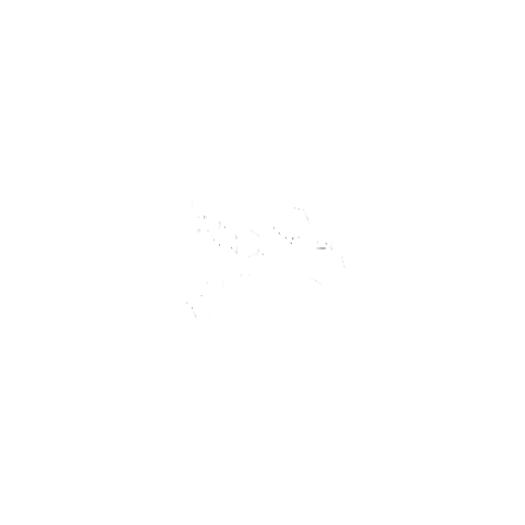 COC1=CC/C(C2=NN(c3cc(N4CC[C@H]5OCC[C@]54N)nc(OCCC4SC=NC4(C)C)n3)CC=C=C2)=N\C=C/C1